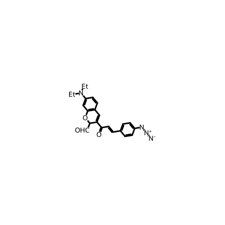 CCN(CC)c1ccc2c(c1)OC(C=O)C(C(=O)C=Cc1ccc(N=[N+]=[N-])cc1)=C2